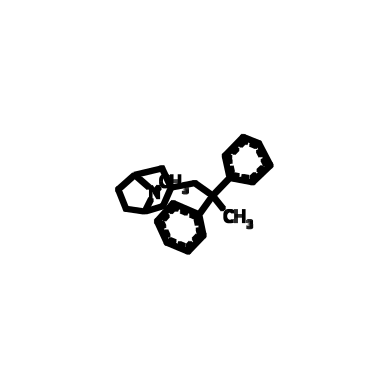 CN1C2CCC1CC(CC(C)(c1ccccc1)c1ccccc1)C2